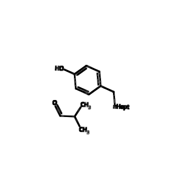 CC(C)C=O.CCCCCCCCc1ccc(O)cc1